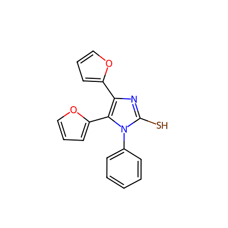 Sc1nc(-c2ccco2)c(-c2ccco2)n1-c1ccccc1